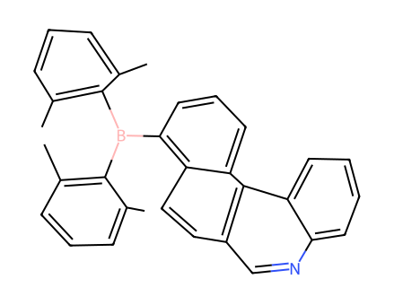 Cc1cccc(C)c1B(c1c(C)cccc1C)c1cccc2c1ccc1cnc3ccccc3c12